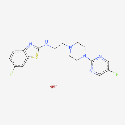 Br.Fc1cnc(N2CCN(CCNc3nc4ccc(F)cc4s3)CC2)nc1